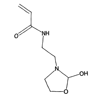 C=CC(=O)NCCN1CCOC1O